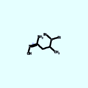 CCN(CC)C(C)C/C(N)=N\O